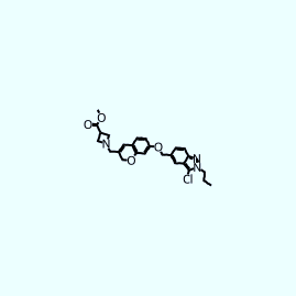 CCCn1nc2ccc(COc3ccc4c(c3)OCC(CN3CC(C(=O)OC)C3)=C4)cc2c1Cl